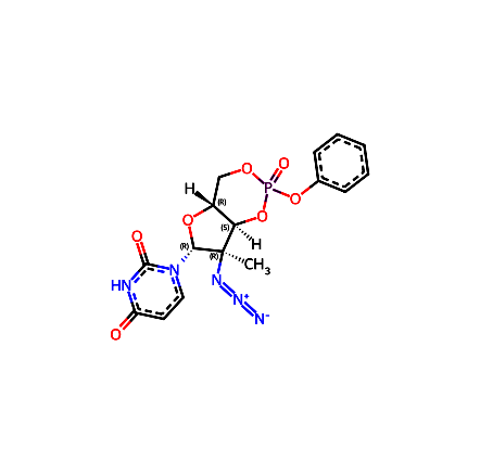 C[C@@]1(N=[N+]=[N-])[C@@H]2OP(=O)(Oc3ccccc3)OC[C@H]2O[C@H]1n1ccc(=O)[nH]c1=O